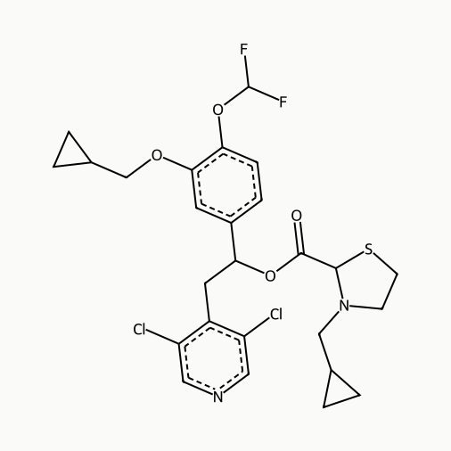 O=C(OC(Cc1c(Cl)cncc1Cl)c1ccc(OC(F)F)c(OCC2CC2)c1)C1SCCN1CC1CC1